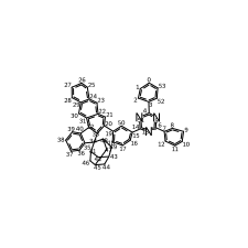 c1ccc(-c2nc(-c3ccccc3)nc(-c3cccc(-c4cc5cc6ccccc6cc5c5c4C4(c6ccccc6-5)C5CC6CC(C5)CC4C6)c3)n2)cc1